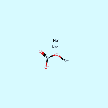 O=[Se]([O-])O[Se-].[Na+].[Na+]